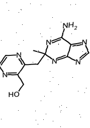 CC1(Cc2nccnc2CO)N=C(N)C2=NC=NC2=N1